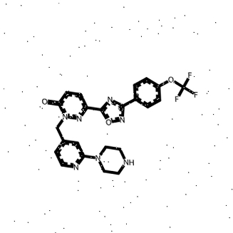 O=c1ccc(-c2nc(-c3ccc(OC(F)(F)F)cc3)no2)nn1Cc1ccnc(N2CCNCC2)c1